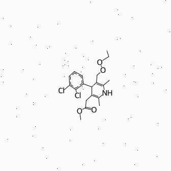 CCOOCC1=C(C)NC(C)=C(CC(=O)OC)C1c1cccc(Cl)c1Cl